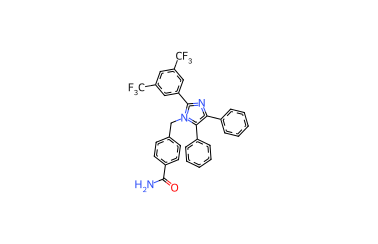 NC(=O)c1ccc(Cn2c(-c3cc(C(F)(F)F)cc(C(F)(F)F)c3)nc(-c3ccccc3)c2-c2ccccc2)cc1